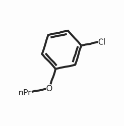 [CH2]CCOc1cccc(Cl)c1